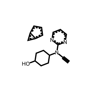 C#CN(c1ncccn1)C1CCC(O)CC1.c1cc2cc-2c1